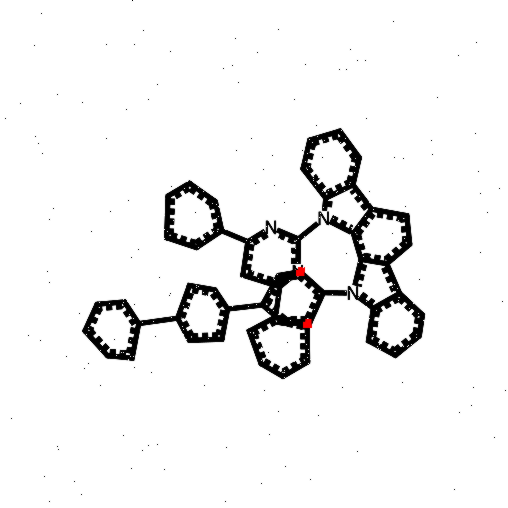 c1ccc(-c2ccc(-c3ccc(-n4c5ccccc5c5ccc6c7ccccc7n(-c7nc(-c8ccccc8)cc(-c8ccccc8)n7)c6c54)cc3)cc2)cc1